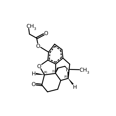 CCC(=O)Oc1ccc2c3c1O[C@H]1C(=O)CCC4[C@@H](C2)N(C)CC[C@@]341